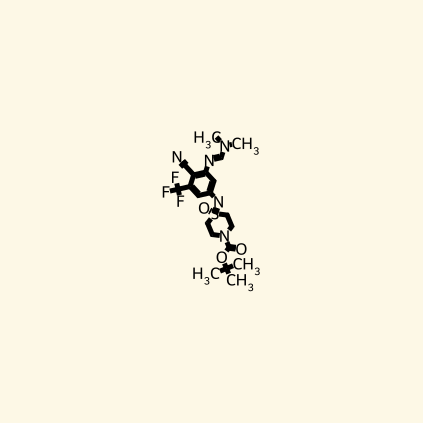 CN(C)C=Nc1cc(N=S2(=O)CCN(C(=O)OC(C)(C)C)CC2)cc(C(F)(F)F)c1C#N